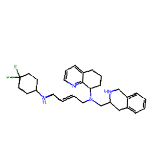 FC1(F)CCC(NC/C=C/CN(CC2Cc3ccccc3CN2)C2CCCc3cccnc32)CC1